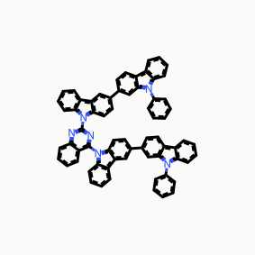 c1ccc(-n2c3ccccc3c3ccc(-c4ccc5c(c4)c4ccccc4n5-c4nc(-n5c6ccccc6c6cc(-c7ccc8c9ccccc9n(-c9ccccc9)c8c7)ccc65)c5ccccc5n4)cc32)cc1